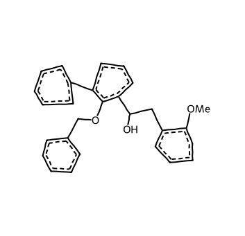 COc1ccccc1CC(O)c1cccc(-c2ccccc2)c1OCc1ccccc1